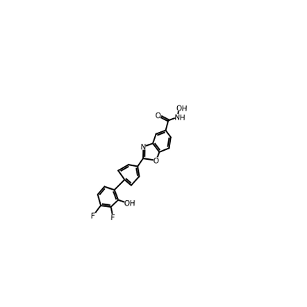 O=C(NO)c1ccc2oc(-c3ccc(-c4ccc(F)c(F)c4O)cc3)nc2c1